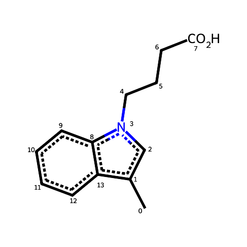 Cc1cn(CCCC(=O)O)c2ccccc12